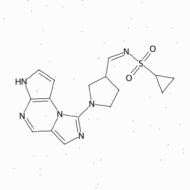 O=S(=O)(/N=C\C1CCN(c2ncc3cnc4[nH]ccc4n23)C1)C1CC1